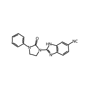 [C-]#[N+]c1ccc2nc(N3CCN(c4ccccc4)C3=O)[nH]c2c1